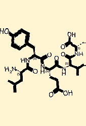 CC(C)C[C@H](N)C(=O)N[C@@H](Cc1ccc(O)cc1)C(=O)N[C@@H](CCC(=O)O)C(=O)N[C@H](C(=O)N[C@@H](C)C(=O)O)C(C)C